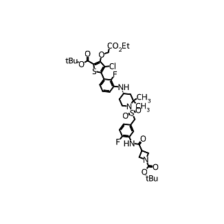 CCOC(=O)COc1c(C(=O)OC(C)(C)C)sc(-c2cccc(N[C@H]3CCN(S(=O)(=O)Cc4ccc(F)c(NC(=O)C5CN(C(=O)OC(C)(C)C)C5)c4)C(C)(C)C3)c2F)c1Cl